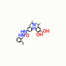 CCc1ccccc1CNC(=O)Nc1cccc(CC(C)NCC(C)c2ccc(O)c(CO)c2)c1